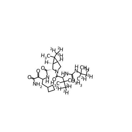 [2H]C([2H])([2H])C(C)(C)NC(=O)N[C@H](C(=O)N1C[C@H]2[C@@H]([C@H]1C(=O)NC(CC1CCC1)C(=O)C(N)=O)C2(C)C([2H])([2H])[2H])C(C)(C)C([2H])([2H])[2H]